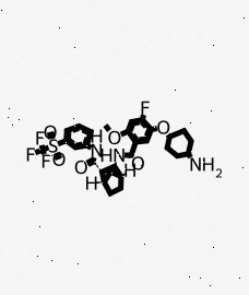 COc1cc(F)c(OC2CCC(N)CC2)cc1C(=O)N[C@@H]1[C@H]2CC[C@H](C2)[C@@H]1C(=O)Nc1cccc(S(=O)(=O)C(F)(F)F)c1